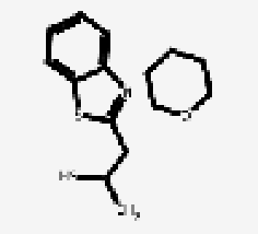 C1CCOCC1.CC(S)Cc1nc2ccccc2s1